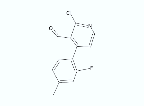 Cc1ccc(-c2ccnc(Cl)c2C=O)c(F)c1